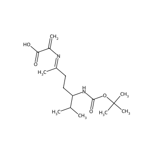 C=C(/N=C(\C)CCC(NC(=O)OC(C)(C)C)C(C)C)C(=O)O